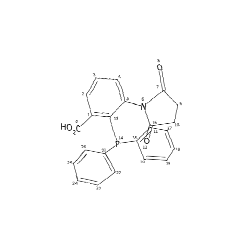 O=C(O)c1cccc(N2C(=O)CCC2=O)c1P(c1ccccc1)c1ccccc1